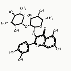 C[C@@H]1O[C@@H](O[C@H]2[C@H](Oc3c(-c4ccc(O)c(O)c4)oc4cc(O)cc(O)c4c3=O)O[C@@H](C)[C@H](O)[C@H]2O)[C@H](O)[C@H](O)[C@H]1O